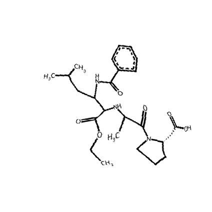 CCOC(=O)C(NC(C)C(=O)N1CCC[C@H]1C(=O)O)C(CC(C)C)NC(=O)c1ccccc1